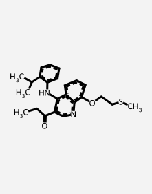 CCC(=O)c1cnc2c(OCCSC)cccc2c1Nc1ccccc1C(C)C